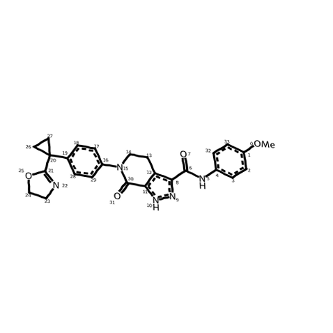 COc1ccc(NC(=O)c2n[nH]c3c2CCN(c2ccc(C4(C5=NCCO5)CC4)cc2)C3=O)cc1